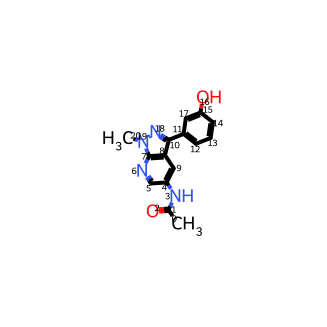 CC(=O)Nc1cnc2c(c1)c(-c1cccc(O)c1)nn2C